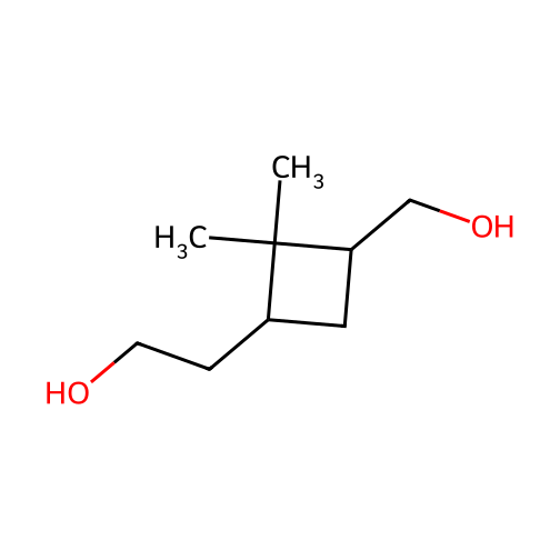 CC1(C)C(CO)CC1CCO